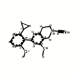 COc1ncnc(C2CC2)c1-c1nc2c(c(SC)n1)CN(C#N)CC2